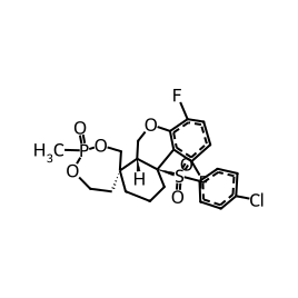 CP1(=O)OCC[C@]2(CCC[C@@]3(S(=O)(=O)c4ccc(Cl)cc4)c4c(F)ccc(F)c4OC[C@@H]23)CO1